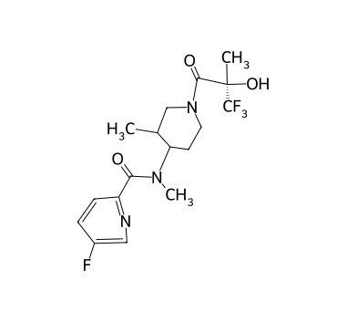 CC1CN(C(=O)[C@@](C)(O)C(F)(F)F)CCC1N(C)C(=O)c1ccc(F)cn1